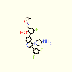 CON=Cc1cc(F)cc(-c2ccc3ncc(-c4cc(F)cc(F)c4)c(N4CCC(N)CC4)c3c2)c1O